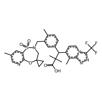 Cc1cnc2c(c1)S(=O)(=O)N(Cc1cc(C(c3ccn4c(C(F)(F)F)nnc4c3C)C(C)(C)C(=O)O)ccc1C)CC1(CC1)O2